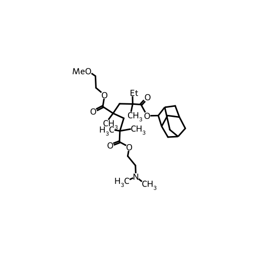 CCC(C)(CC(C)(CC(C)(C)C(=O)OCCN(C)C)C(=O)OCCOC)C(=O)OC1C2CC3CC(C2)CC1C3